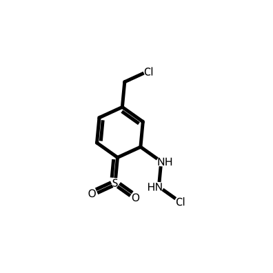 O=S(=O)=C1C=CC(CCl)=CC1NNCl